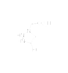 CCC1=CN(CC(=O)O)NN1